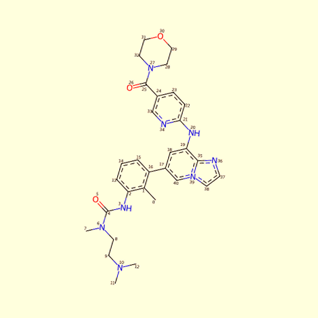 Cc1c(NC(=O)N(C)CCN(C)C)cccc1-c1cc(Nc2ccc(C(=O)N3CCOCC3)cn2)c2nccn2c1